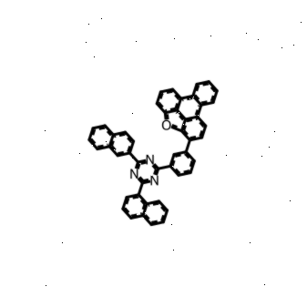 c1cc(-c2nc(-c3ccc4ccccc4c3)nc(-c3cccc4ccccc34)n2)cc(-c2ccc3c4ccccc4c4cccc5oc2c3c54)c1